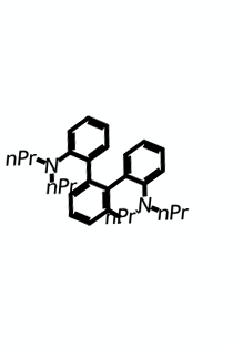 [CH2]c1cccc(-c2ccccc2N(CCC)CCC)c1-c1ccccc1N(CCC)CCC